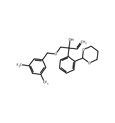 C=CC(O)(COCc1cc(C(F)(F)F)cc(C(F)(F)F)c1)c1ccccc1C1OCCCO1